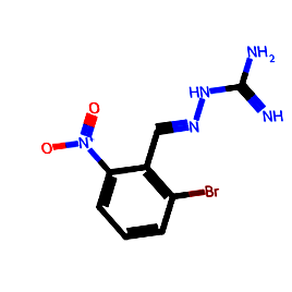 N=C(N)N/N=C/c1c(Br)cccc1[N+](=O)[O-]